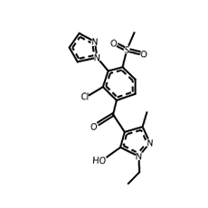 CCn1nc(C)c(C(=O)c2ccc(S(C)(=O)=O)c(-n3cccn3)c2Cl)c1O